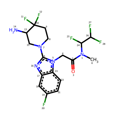 CN(C(=O)Cn1c(N2CCC(F)(F)C(N)C2)nc2cc(F)ccc21)C(F)C(F)F